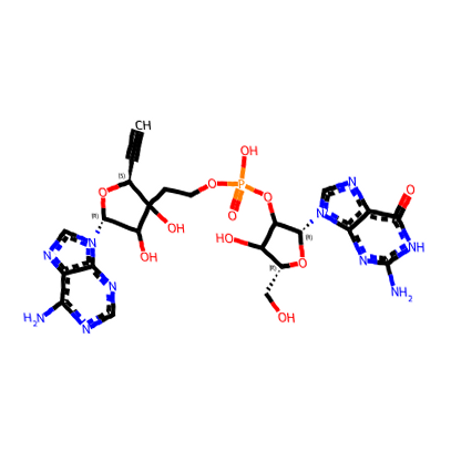 C#C[C@@H]1O[C@@H](n2cnc3c(N)ncnc32)C(O)C1(O)CCOP(=O)(O)OC1C(O)[C@@H](CO)O[C@H]1n1cnc2c(=O)[nH]c(N)nc21